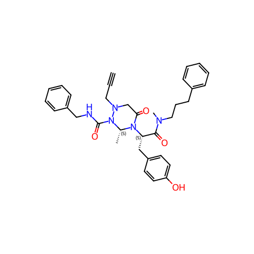 C#CCN1CC(=O)N([C@@H](Cc2ccc(O)cc2)C(=O)N(C)CCCc2ccccc2)[C@H](C)N1C(=O)NCc1ccccc1